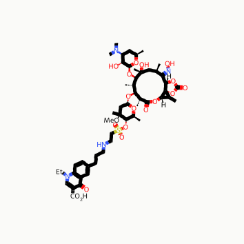 CCn1cc(C(=O)O)c(=O)c2cc(CCCNCCS(=O)(=O)O[C@H]3[C@H](C)O[C@@H](O[C@H]4[C@H](C)[C@@H](O[C@@H]5O[C@H](C)C[C@H](N(C)C)[C@H]5O)[C@](C)(O)C[C@@H](C)/C(=N\O)[C@H]5OC(=O)O[C@@]56C(C)[C@H]6OC(=O)[C@@H]4C)C[C@@]3(C)OC)ccc21